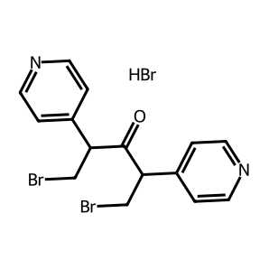 Br.O=C(C(CBr)c1ccncc1)C(CBr)c1ccncc1